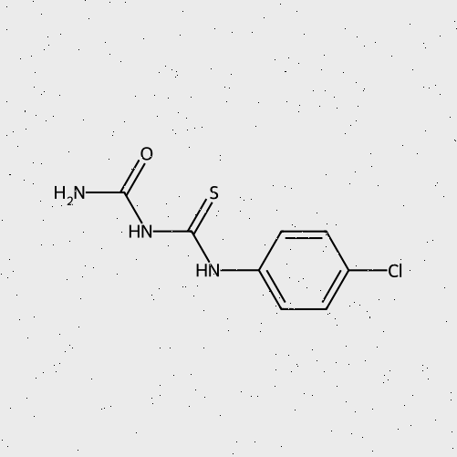 NC(=O)NC(=S)Nc1ccc(Cl)cc1